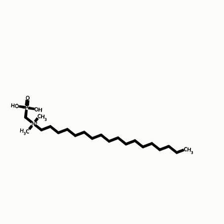 CCCCCCCCCCCCCCCCCC[N+](C)(C)CP(=O)(O)O